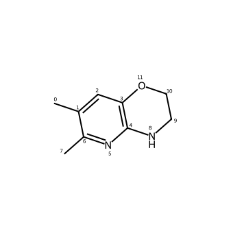 Cc1cc2c(nc1C)NCCO2